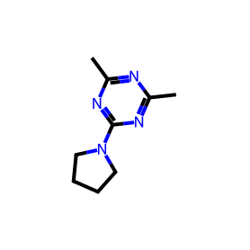 Cc1nc(C)nc(N2CCCC2)n1